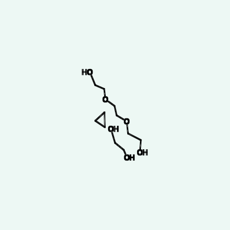 C1CC1.OCCO.OCCOCCOCCO